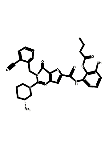 CCCC(=O)Oc1c(O)cccc1NC(=O)c1cc2nc(N3CCC[C@@H](N)C3)n(Cc3ccccc3C#N)c(=O)c2s1